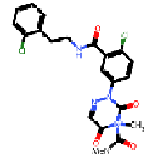 CNC(=O)[N+]1(C)C(=O)C=NN(c2ccc(Cl)c(C(=O)NCCc3ccccc3Cl)c2)C1=O